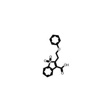 O=C(O)C1=C(CCOc2ccccc2)S(=O)(=O)c2ccccc21